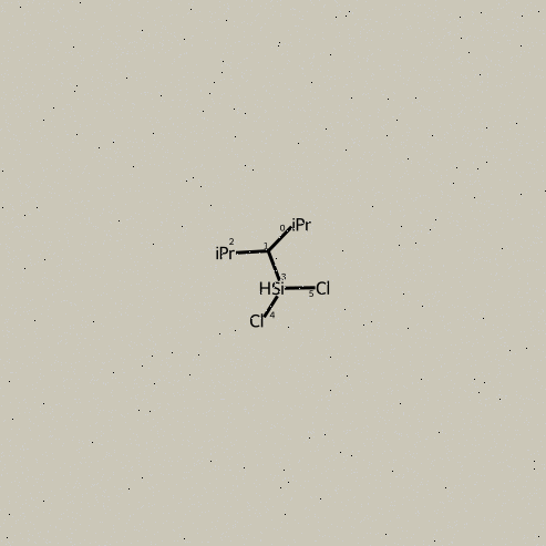 CC(C)C(C(C)C)[SiH](Cl)Cl